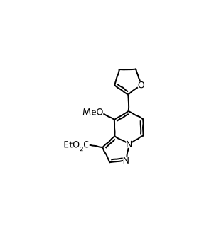 CCOC(=O)c1cnn2ccc(C3=CCCO3)c(OC)c12